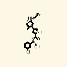 Cc1cnc(NCC(C)C)cc1-c1c[nH]c(C(=O)N[C@H](CO)c2cccc(Cl)c2)c1